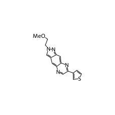 COCCn1cc2cc3ncc(-c4ccsc4)nc3cc2n1